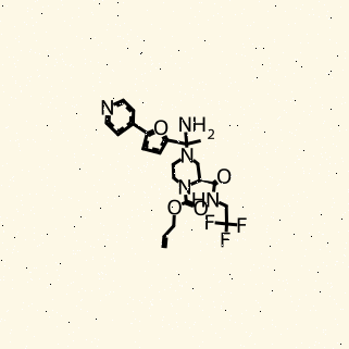 C=CCOC(=O)N1CCN(C(C)(N)c2ccc(-c3ccncc3)o2)C[C@H]1C(=O)NCC(F)(F)F